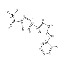 Cc1cccnc1Nc1nc(-c2ccc(C(=O)N(C)C)cn2)no1